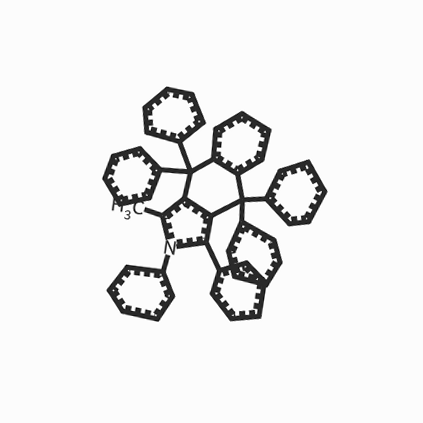 Cc1c2c(c(-c3ccccc3)n1-c1ccccc1)C(c1ccccc1)(c1ccccc1)c1ccccc1C2(c1ccccc1)c1ccccc1